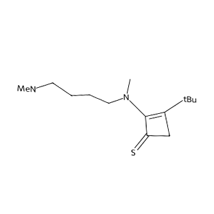 CNCCCCN(C)C1=C(C(C)(C)C)CC1=S